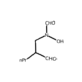 CCCC([C]=O)CN(O)C=O